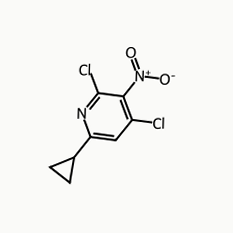 O=[N+]([O-])c1c(Cl)cc(C2CC2)nc1Cl